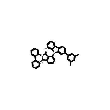 Cc1cc(C)cc(-c2ccc3c4ccccc4n(-c4cccc5c4C(=O)N(c4ccccc4-c4ccccc4)C5=O)c3c2)c1